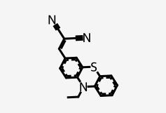 CCN1c2ccccc2Sc2cc(C=C(C#N)C#N)ccc21